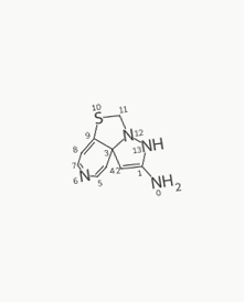 NC1=CC23C=CN=CC=C2SCN3N1